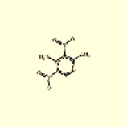 Cc1ccc([N+](=O)[O-])c(N)c1[N+](=O)[O-]